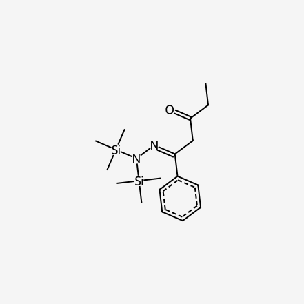 CCC(=O)CC(=NN([Si](C)(C)C)[Si](C)(C)C)c1ccccc1